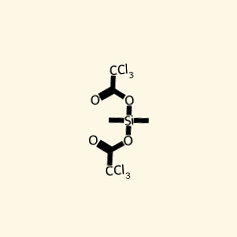 C[Si](C)(OC(=O)C(Cl)(Cl)Cl)OC(=O)C(Cl)(Cl)Cl